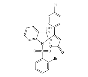 O=C1C=C(c2ccc(Cl)cc2)[C@]2(O1)[C@@H](O)c1ccccc1N2S(=O)(=O)c1ccccc1Br